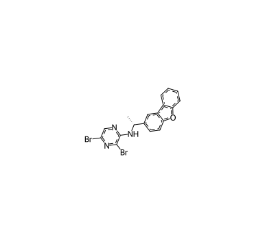 C[C@@H](Nc1ncc(Br)nc1Br)c1ccc2oc3ccccc3c2c1